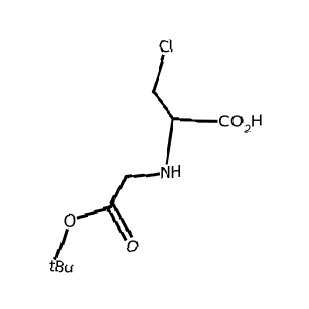 CC(C)(C)OC(=O)CNC(CCl)C(=O)O